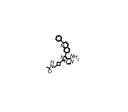 CC(=O)NCC1CC(c2nc(-c3ccc4ccc(-c5ccccc5)nc4c3)c3c(N)nccn23)C1